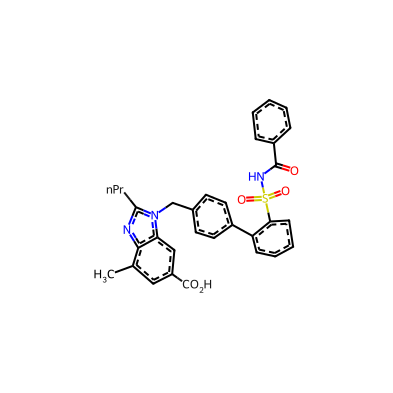 CCCc1nc2c(C)cc(C(=O)O)cc2n1Cc1ccc(-c2ccccc2S(=O)(=O)NC(=O)c2ccccc2)cc1